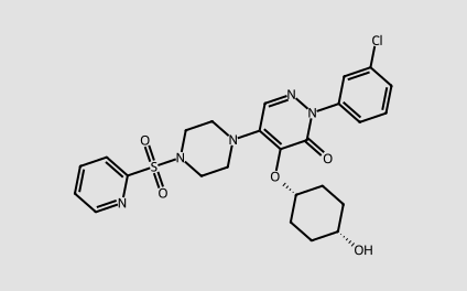 O=c1c(O[C@H]2CC[C@@H](O)CC2)c(N2CCN(S(=O)(=O)c3ccccn3)CC2)cnn1-c1cccc(Cl)c1